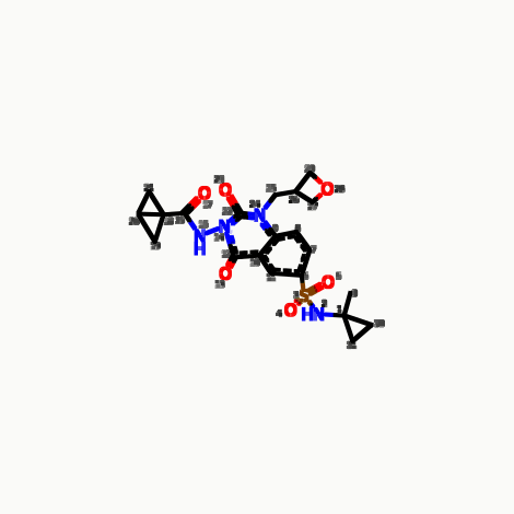 CC1(NS(=O)(=O)c2ccc3c(c2)c(=O)n(NC(=O)C24CC2C4)c(=O)n3CC2COC2)CC1